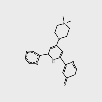 C[N+]1(C)CCN(C2=CC(c3ccccn3)NC(C3=CC(=O)CC=N3)=C2)CC1